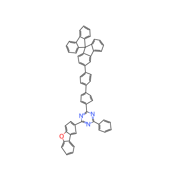 c1ccc(-c2nc(-c3ccc(-c4ccc(-c5ccc6c(c5)-c5ccccc5C65c6ccccc6-c6ccccc65)cc4)cc3)nc(-c3ccc4oc5ccccc5c4c3)n2)cc1